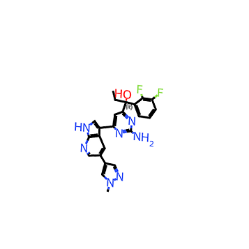 CC[C@](O)(c1cc(-c2c[nH]c3ncc(-c4cnn(C)c4)cc23)nc(N)n1)c1cccc(F)c1F